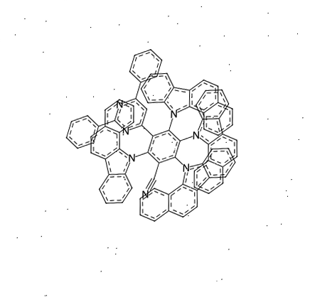 N#Cc1c(-n2c3ccccc3c3ccc4ccccc4c32)c(-c2cc(-c3ccccc3)nc(-c3ccccc3)n2)c(-n2c3ccccc3c3ccc4ccccc4c32)c(-n2c3ccccc3c3ccc4ccccc4c32)c1-n1c2ccccc2c2ccc3ccccc3c21